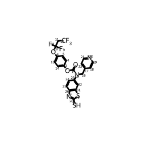 O=C(Oc1ccc(OC(F)(F)CC(F)(F)F)cc1)N(Cc1ccncc1)c1ccc2nc(S)sc2c1